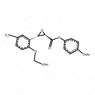 CCCCCCCCCCCOc1ccc([N+](=O)[O-])cc1[C@@H]1O[C@H]1C(=O)Oc1ccc(OC)cc1